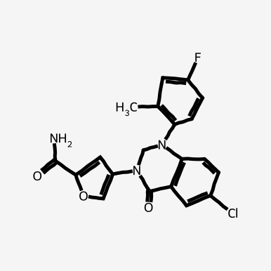 Cc1cc(F)ccc1N1CN(c2coc(C(N)=O)c2)C(=O)c2cc(Cl)ccc21